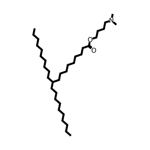 CCCCCCCCCCC(CCCCCCCCCC)CCCCCCCCC(=O)OCCCCN(C)C